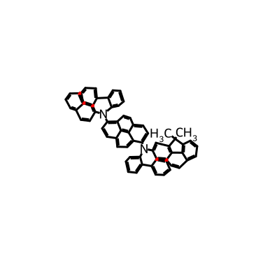 CC1(C)c2cccc3ccc4cc(N(c5ccccc5-c5ccccc5)c5ccc6ccc7c(N(c8ccc9ccccc9c8)c8ccccc8-c8ccccc8)ccc8ccc5c6c87)cc1c4c23